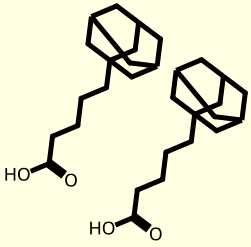 O=C(O)CCCCC12CC3CC(CC(C3)C1)C2.O=C(O)CCCCC12CC3CC(CC(C3)C1)C2